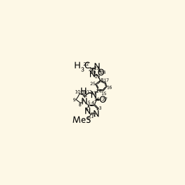 CSc1ncc2c(n1)N1CCC[C@H]1CN(c1cccc(-c3nc(C)no3)c1)C2=O